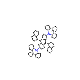 c1ccc2c(c1)N(c1ccc3c(-c4cccc5ccccc45)c4cc(N5c6ccccc6[Si]6(CCCC6)c6ccccc65)ccc4c(-c4cccc5ccccc45)c3c1)c1ccccc1[Si]21CCCC1